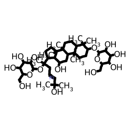 CC(C)(O)/C=C/CC(C)(OC1OC(CO)C(O)C(O)C1O)C1CCC2(C)C1C(O)CC1C3(C)CCC(OC4OC(CO)C(O)C(O)C4O)C(C)(C)C3CCC12C